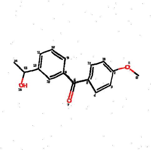 COc1ccc(C(=O)c2cccc(C(C)O)c2)cc1